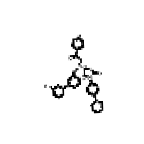 O=C(CC[C@H]1OC(=O)N(c2ccc(-c3ccccc3)cc2)[C@@H]1c1ccc(-c2cccc(O)c2)cc1O)c1ccc(F)cc1